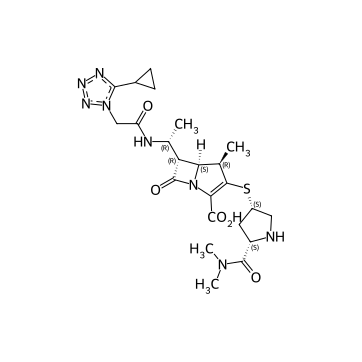 C[C@@H](NC(=O)Cn1nnnc1C1CC1)[C@H]1C(=O)N2C(C(=O)O)=C(S[C@@H]3CN[C@H](C(=O)N(C)C)C3)[C@H](C)[C@H]12